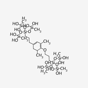 CC1=C(OCCC[Si](O[Si](C)(O)O)(O[Si](C)(O)O)O[Si](C)(O)O)C(C)CC(CCC[Si](O[Si](C)(O)O)(O[Si](C)(O)O)O[Si](C)(O)O)=C1